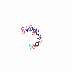 O=C(CCCN1CC(Oc2ccc(OC(F)(F)F)cc2)C1)N[C@@H]1COc2nc([N+](=O)[O-])cn2C1